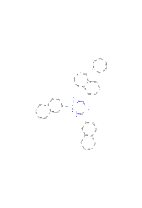 c1ccc2c(c1)-c1cccc3c(-c4nc(-c5ccc6ccccc6c5)nc(-c5ccc6ccccc6c5)n4)ccc-2c13